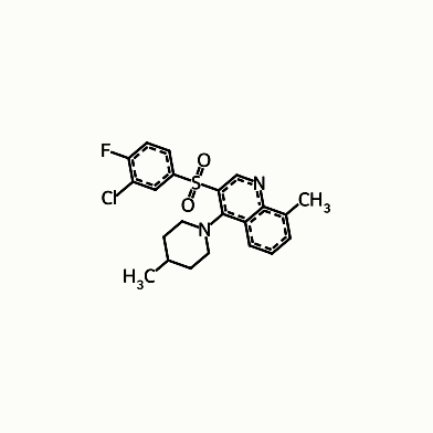 Cc1cccc2c(N3CCC(C)CC3)c(S(=O)(=O)c3ccc(F)c(Cl)c3)cnc12